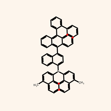 Cc1ccc(N(c2ccc(C)c3ccccc23)c2ccc(-c3c4ccccc4c(-c4ccccc4-c4ccccc4)c4ccccc34)c3ccccc23)c2ccccc12